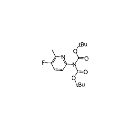 Cc1nc(N(C(=O)OC(C)(C)C)C(=O)OC(C)(C)C)ccc1F